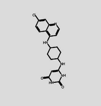 O=c1cc(NC2CCC(Nc3ccnc4cc(Cl)ccc34)CC2)[nH]c(=O)[nH]1